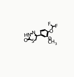 COc1cc(C2=NNC(=O)SC2)ccc1OC(F)F